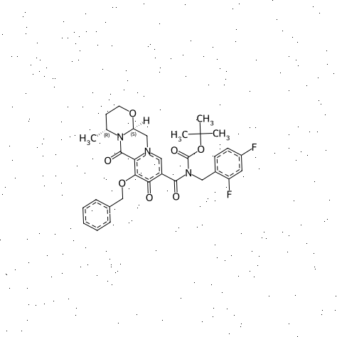 C[C@@H]1CCO[C@H]2Cn3cc(C(=O)N(Cc4ccc(F)cc4F)C(=O)OC(C)(C)C)c(=O)c(OCc4ccccc4)c3C(=O)N12